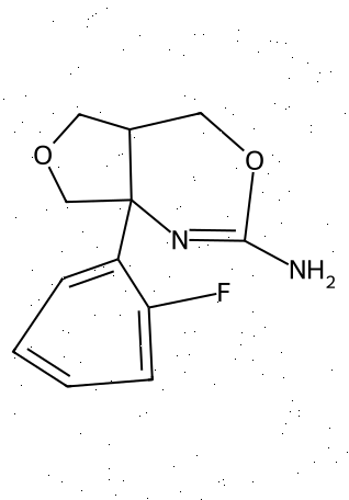 NC1=NC2(c3ccccc3F)COCC2CO1